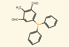 Cc1c(C=O)cc(P(c2ccccc2)c2ccccc2)cc1C=O